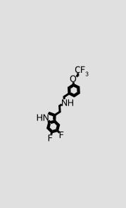 Fc1cc2[nH]cc(CCNCc3cccc(OCC(F)(F)F)c3)c2cc1F